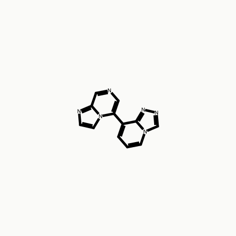 c1cc(-c2cncc3nccn23)c2nncn2c1